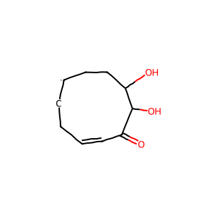 O=C1C=CCC[CH]CCC(O)C1O